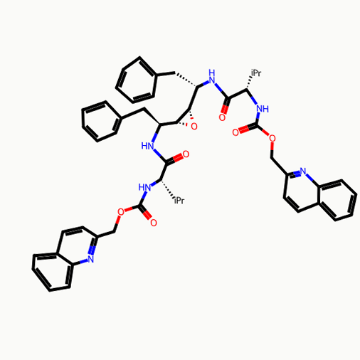 CC(C)[C@H](NC(=O)OCc1ccc2ccccc2n1)C(=O)N[C@@H](Cc1ccccc1)[C@@H]1O[C@@H]1[C@H](Cc1ccccc1)NC(=O)[C@@H](NC(=O)OCc1ccc2ccccc2n1)C(C)C